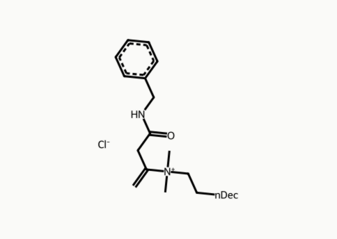 C=C(CC(=O)NCc1ccccc1)[N+](C)(C)CCCCCCCCCCCC.[Cl-]